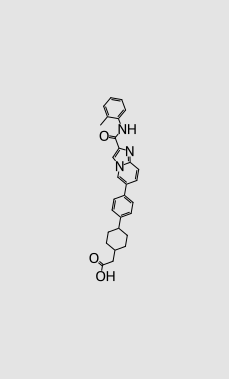 Cc1ccccc1NC(=O)c1cn2cc(-c3ccc(C4CCC(CC(=O)O)CC4)cc3)ccc2n1